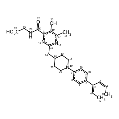 C/C=C\C(=C/C)c1ccc(N2CCC(Cc3nc(C)c(O)c(C(=O)NCC(=O)O)n3)CC2)cc1